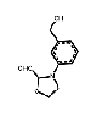 O=CC1OCCN1c1cccc(CO)c1